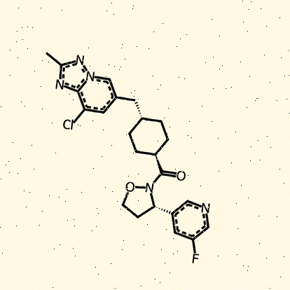 Cc1nc2c(Cl)cc(C[C@H]3CC[C@H](C(=O)N4OCC[C@H]4c4cncc(F)c4)CC3)cn2n1